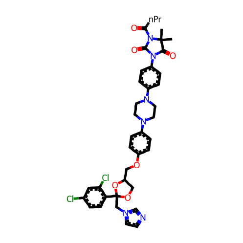 CCCC(=O)N1C(=O)N(c2ccc(N3CCN(c4ccc(OCC5COC(Cn6ccnc6)(c6ccc(Cl)cc6Cl)O5)cc4)CC3)cc2)C(=O)C1(C)C